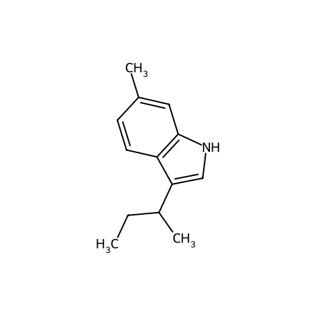 CCC(C)c1c[nH]c2cc(C)ccc12